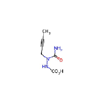 CC#CCN(NC(=O)O)C(N)=O